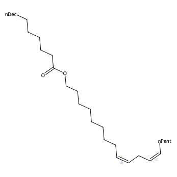 CCCCC/C=C\C/C=C\CCCCCCCCOC(=O)CCCCCCCCCCCCCCC